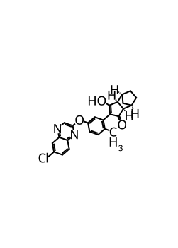 Cc1ccc(Oc2cnc3cc(Cl)ccc3n2)cc1C1=C(O)[C@H]2[C@H]3CC[C@H](C3)[C@H]2C1=O